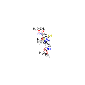 CC(C)OC(=O)Nc1ccc2c(c1)S(=O)(C(C)(C)C)=N/C([C@H]1CC[C@H](NC(=O)OC(C)C)CC1)=N\N=C\2S